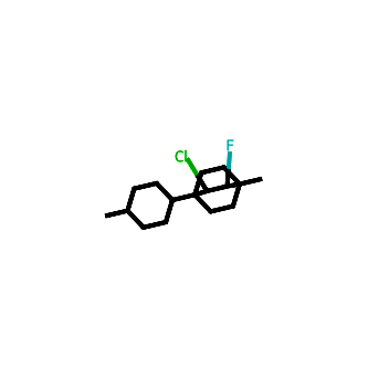 CC1CCC(C23CCC(C)(CC2)C(F)C3Cl)CC1